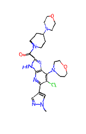 Cn1cc(-c2nc3[nH]c(C(=O)N4CCC(N5CCOCC5)CC4)nc3c(N3CCOCC3)c2Cl)cn1